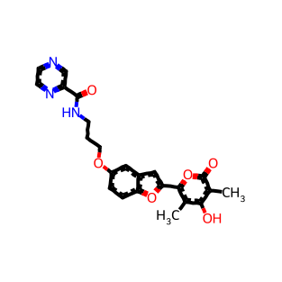 Cc1c(-c2cc3cc(OCCCNC(=O)c4cnccn4)ccc3o2)oc(=O)c(C)c1O